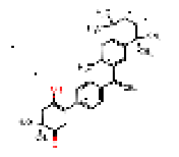 C=C(c1ccc(C2=C(O)CC(C)(C)C(=O)C2)cc1)c1cc2c(cc1C)C(C)(C)CCC2(C)C